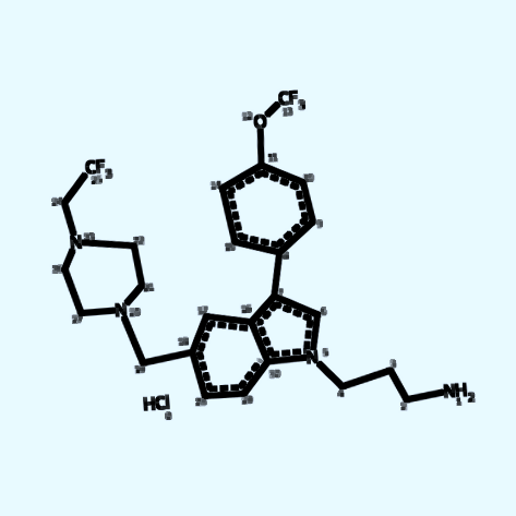 Cl.NCCCn1cc(-c2ccc(OC(F)(F)F)cc2)c2cc(CN3CCN(CC(F)(F)F)CC3)ccc21